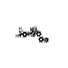 CC(NC(=O)[C@H]1C[C@@H](c2cccc(-n3cccn3)c2)CCN1)C(=O)NCc1ccc(C(=N)N)cc1.Cl.Cl